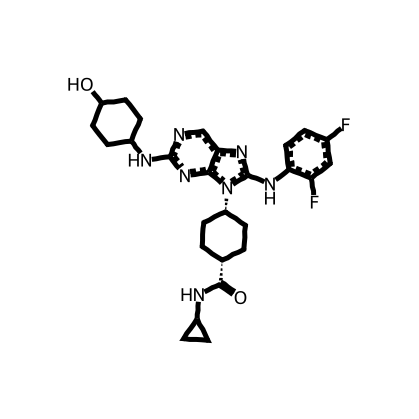 O=C(NC1CC1)[C@H]1CC[C@@H](n2c(Nc3ccc(F)cc3F)nc3cnc(NC4CCC(O)CC4)nc32)CC1